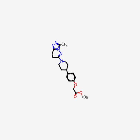 CC(C)(C)OC(=O)COc1ccc(C2CCN(C3=Nn4c(nnc4C(F)(F)F)CC3)CC2)cc1